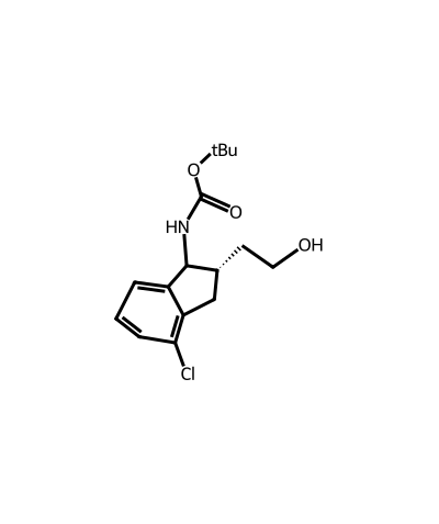 CC(C)(C)OC(=O)NC1c2cccc(Cl)c2C[C@H]1CCO